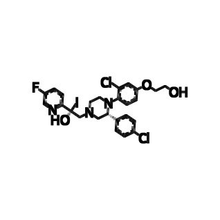 OCCOc1ccc(N2CCN(C[C@](O)(I)c3ccc(F)cn3)C[C@H]2c2ccc(Cl)cc2)c(Cl)c1